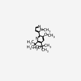 COc1cc(C(C)(C)C)c(C(C)(C)C)nc1-c1ccnn1C